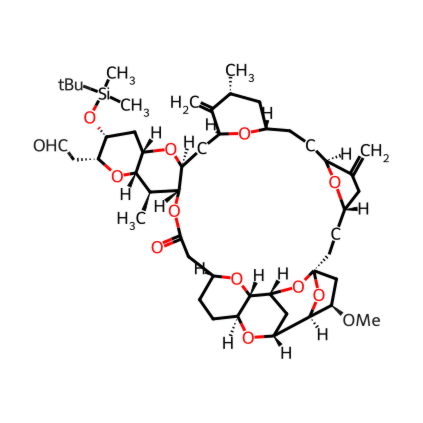 C=C1C[C@@H]2CC[C@]34C[C@@H](OC)[C@H](O3)[C@H]3C[C@@H](O4)[C@H]4O[C@H](CC[C@@H]4O3)CC(=O)O[C@@H]3[C@@H](C)[C@@H]4O[C@H](CC=O)[C@H](O[Si](C)(C)C(C)(C)C)C[C@@H]4O[C@H]3C[C@H]3O[C@@H](CC[C@@H]1O2)C[C@@H](C)C3=C